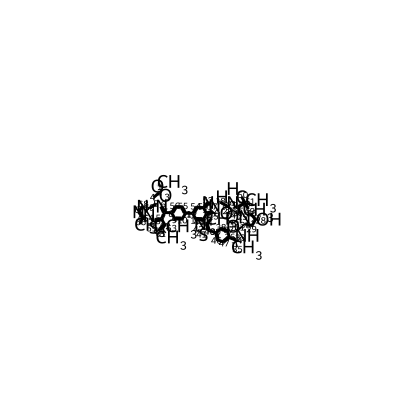 COC(=O)C[C@@H]1N=C(c2ccc(-c3ccc4cn(CC(=O)N[C@H](C(=O)N5C[C@H](O)C[C@H]5C(=O)N[C@@H](C)c5ccc(-c6scnc6C)cc5)C(C)(C)C)nc4c3)cc2)c2c(sc(C)c2C)-n2c(C)nnc21